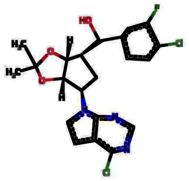 CC1(C)O[C@@H]2[C@H](O1)[C@@H](C(O)c1ccc(Cl)c(F)c1)C[C@H]2n1ccc2c(Cl)ncnc21